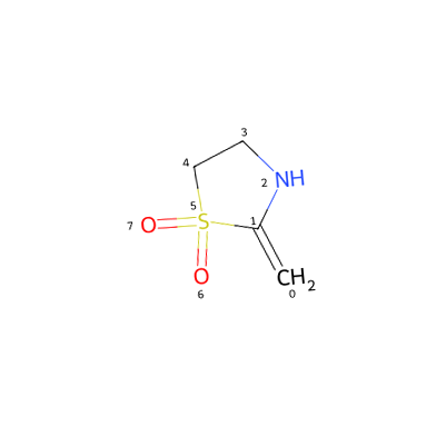 C=C1NCCS1(=O)=O